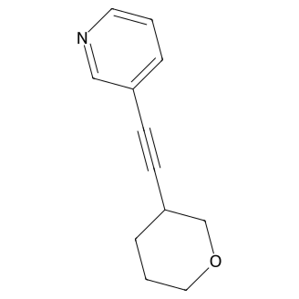 C(#CC1CCCOC1)c1cccnc1